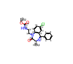 CC[C@H](C)[C@@H]1N=C(c2ccccc2)c2cc(Cl)ccc2N(CCNC(=O)OC(C)(C)C)C1=O